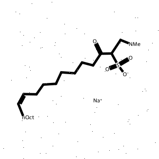 CCCCCCCC/C=C\CCCCCCCC(=O)C(CNC)S(=O)(=O)[O-].[Na+]